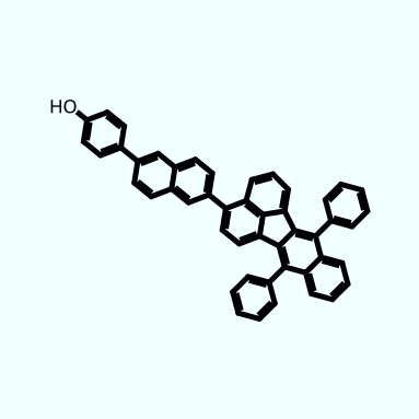 Oc1ccc(-c2ccc3cc(-c4ccc5c6c(cccc46)-c4c-5c(-c5ccccc5)c5ccccc5c4-c4ccccc4)ccc3c2)cc1